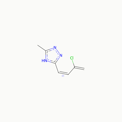 C=C(Cl)/C=C\c1nnc(C)[nH]1